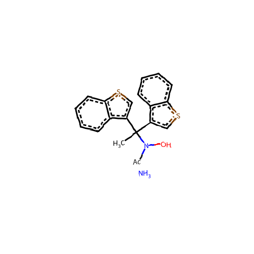 CC(=O)N(O)C(C)(c1csc2ccccc12)c1csc2ccccc12.N